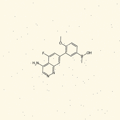 COc1ccc(B(C)O)cc1-c1cc(F)c2c(N)cnnc2c1